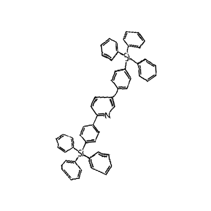 c1ccc([Si](c2ccccc2)(c2ccccc2)c2ccc(-c3ccc(-c4ccc([Si](c5ccccc5)(c5ccccc5)c5ccccc5)cc4)nc3)cc2)cc1